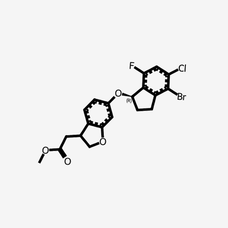 COC(=O)CC1COc2cc(O[C@@H]3CCc4c(Br)c(Cl)cc(F)c43)ccc21